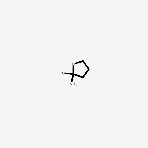 NC1(O)CCCO1